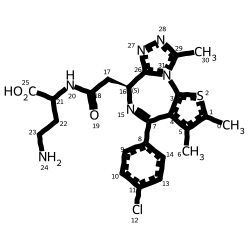 Cc1sc2c(c1C)C(c1ccc(Cl)cc1)=N[C@@H](CC(=O)NC(CCN)C(=O)O)c1nnc(C)n1-2